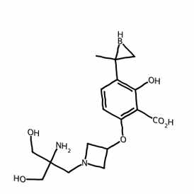 CC1(c2ccc(OC3CN(CC(N)(CO)CO)C3)c(C(=O)O)c2O)BC1